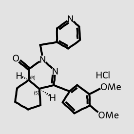 COc1ccc(C2=NN(Cc3cccnc3)C(=O)[C@@H]3CCCC[C@H]23)cc1OC.Cl